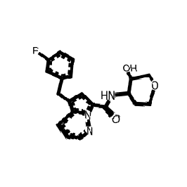 O=C(NC1CCOCC1O)c1cc(Cc2cccc(F)c2)c2cccnn12